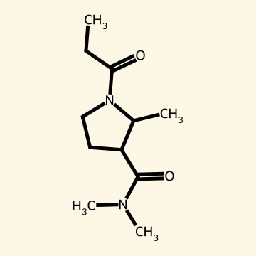 CCC(=O)N1CCC(C(=O)N(C)C)C1C